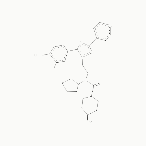 COc1ccc(-c2nc(-c3ccncc3)nn2CCN(C(=O)C2CCC(OC)CC2)C2CCCC2)cc1Cl